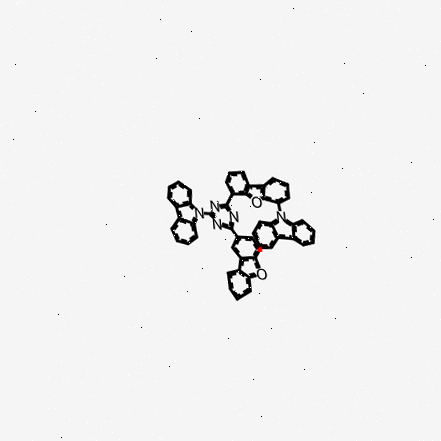 c1ccc2c(c1)oc1ccc(-c3nc(-c4cccc5c4oc4c(-n6c7ccccc7c7ccccc76)cccc45)nc(-n4c5ccccc5c5ccccc54)n3)cc12